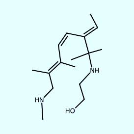 C\C=C(/C=C\C(C)=C(/C)CNC)C(C)(C)NCCO